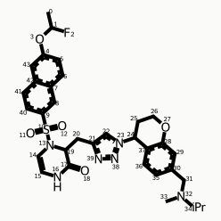 CC(F)Oc1ccc2cc(S(=O)(=O)N3C=CNC(=O)C3Cc3cn(C4CCOc5cc(CN(C)C(C)C)ccc54)nn3)ccc2c1